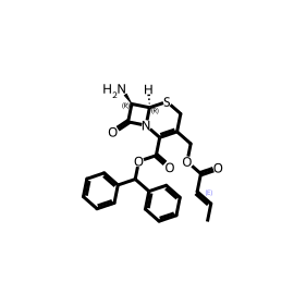 C/C=C/C(=O)OCC1=C(C(=O)OC(c2ccccc2)c2ccccc2)N2C(=O)[C@@H](N)[C@H]2SC1